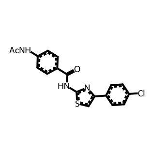 CC(=O)Nc1ccc(C(=O)Nc2nc(-c3ccc(Cl)cc3)cs2)cc1